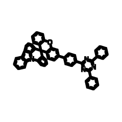 c1ccc(-c2nc(-c3ccccc3)nc(-c3ccc(-c4ccc5c(c4)Oc4ccccc4C54c5ccccc5-n5c6ccccc6c6cccc4c65)cc3)n2)cc1